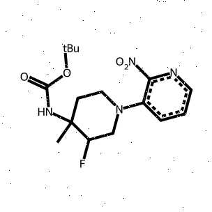 CC(C)(C)OC(=O)NC1(C)CCN(c2cccnc2[N+](=O)[O-])CC1F